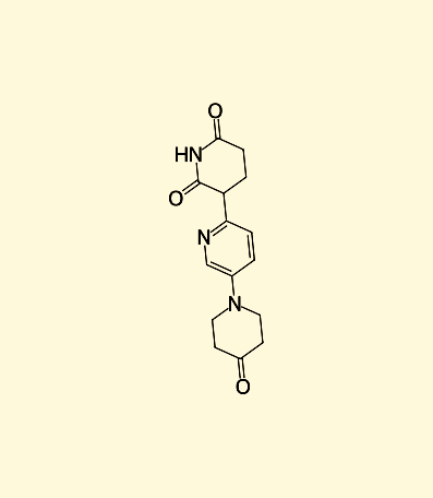 O=C1CCN(c2ccc(C3CCC(=O)NC3=O)nc2)CC1